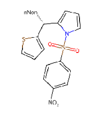 CCCCCCCCC[C@@H](c1cccs1)c1cccn1S(=O)(=O)c1ccc([N+](=O)[O-])cc1